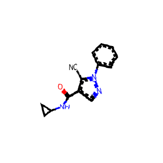 N#Cc1c(C(=O)NC2CC2)cnn1-c1ccccc1